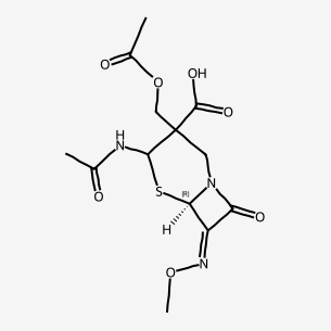 CON=C1C(=O)N2CC(COC(C)=O)(C(=O)O)C(NC(C)=O)S[C@H]12